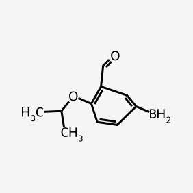 Bc1ccc(OC(C)C)c(C=O)c1